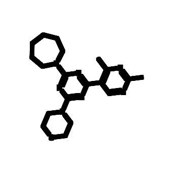 Cc1ncc(-c2nc(N3CCCCCC3)nc(N3CCOCC3)n2)c(C)n1